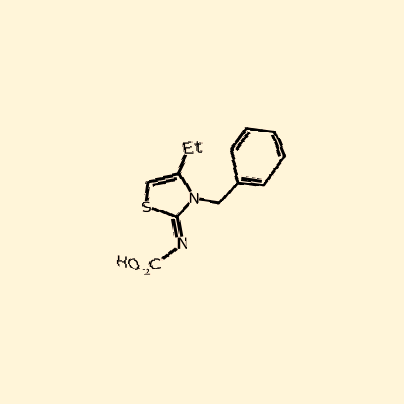 CCc1csc(=NC(=O)O)n1Cc1ccccc1